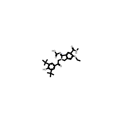 CCOc1cc2c(cc1C(=O)NC)/C(=N/C(=O)O)N(CC(=O)c1cc(C(C)(C)C)c(O)c(C(C)(C)C)c1)C2